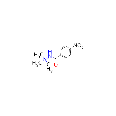 C[N+](C)(C)NC(=O)c1ccc([N+](=O)[O-])cc1